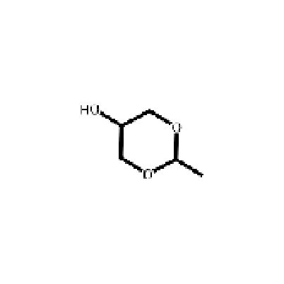 CC1OCC(O)CO1